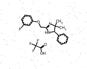 CC1(C)N=C(COc2cccc(F)c2)NC1c1ccccc1.O=C(O)C(F)(F)F